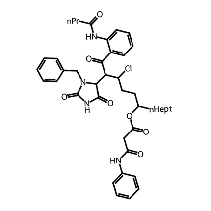 CCCCCCCC(CCC(Cl)C(C(=O)c1ccccc1NC(=O)CCC)C1C(=O)NC(=O)N1Cc1ccccc1)OC(=O)CC(=O)Nc1ccccc1